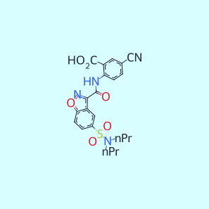 CCCN(CCC)S(=O)(=O)c1ccc2onc(C(=O)Nc3ccc(C#N)cc3C(=O)O)c2c1